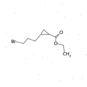 CCOC(=O)C1CC1CCCBr